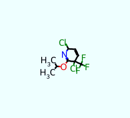 CC(C)OC1=NC(Cl)C=CC1(Cl)C(F)(F)F